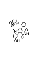 CS(=O)(=O)OCCn1c2ccc(O)cc2c2c3c(c(-c4ccccc4)cc21)C(=O)NC3=O